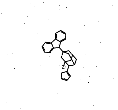 [Zr][C]12CC3CC(CC(C4c5ccccc5-c5ccccc54)(C3)C1)C2C1=CC=CC1